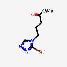 COC(=O)CCCn1cnnc1S